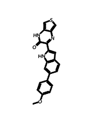 COc1ccc(-c2ccc3cc(-c4nc5cscc5[nH]c4=O)[nH]c3c2)cc1